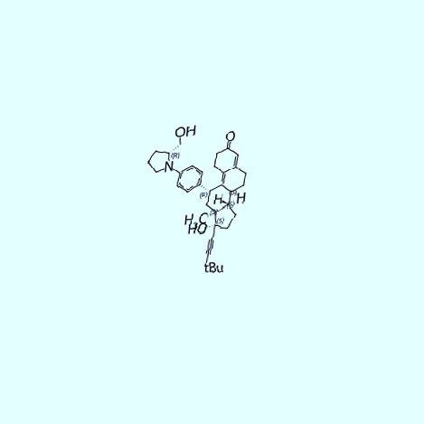 CC(C)(C)C#C[C@]1(O)CC[C@H]2[C@@H]3CCC4=CC(=O)CCC4=C3[C@@H](c3ccc(N4CCC[C@@H]4CO)cc3)C[C@@]21C